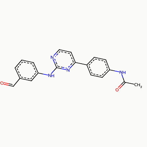 CC(=O)Nc1ccc(-c2ccnc(Nc3cccc(C=O)c3)n2)cc1